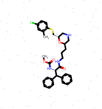 COC(=O)N[C@H](C(=O)NCCCC1CNC[C@@H](CSc2ccc(Cl)cc2C)O1)C(c1ccccc1)c1ccccc1